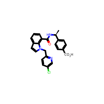 C[C@H](NC(=O)c1cccc2ccn(Cc3ccc(Cl)cn3)c12)c1ccc(C(=O)O)cc1